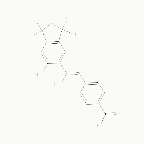 C/C(=C\c1ccc(C(=O)O)cc1)c1cc2c(cc1C)C(C)(C)CC2(C)C